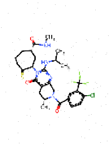 CNC(=O)[C@H]1CCCC(=S)[C@H](n2c(NC(C)C)nc3c(c2=O)C[C@@H](C)N(C(=O)c2ccc(Cl)c(C(F)(F)F)c2)C3)C1